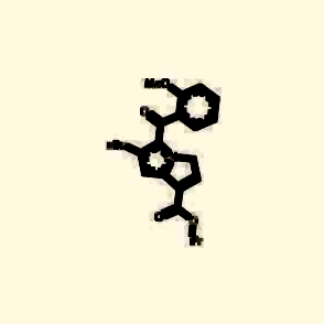 CCCCc1cc2n(c1C(=O)c1ccccc1OC)CC=C2C(=O)OC(C)C